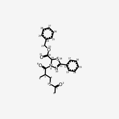 CC(=O)SCC(C)C(=O)N1N=C(c2ccccc2)SC1C(=O)OCc1ccccc1